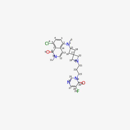 CN(c1ccc(Cl)c2c(=O)n(C)ccc12)C1CC2(C1)CN(CCCn1cncc(F)c1=O)C2